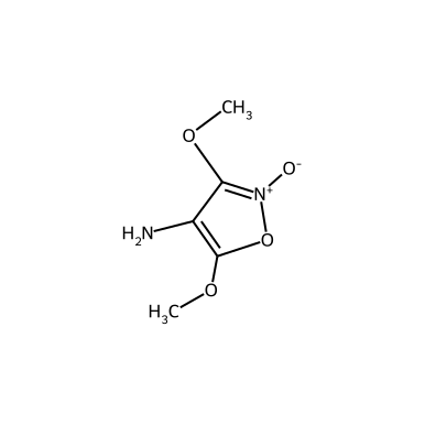 COc1o[n+]([O-])c(OC)c1N